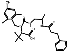 Cc1cc(O)cc(C)c1C[C@@H](C(=O)NCC(C)NC(=O)CCc1ccccc1)N(C(=O)O)C(C)(C)C